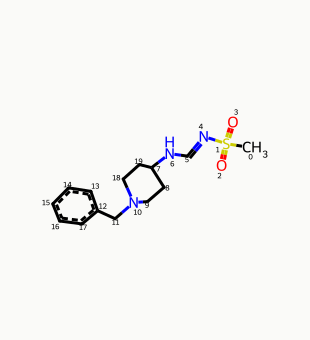 CS(=O)(=O)N=CNC1CCN(Cc2ccccc2)CC1